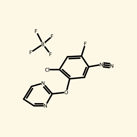 F[B-](F)(F)F.N#[N+]c1cc(Oc2ncccn2)c(Cl)cc1F